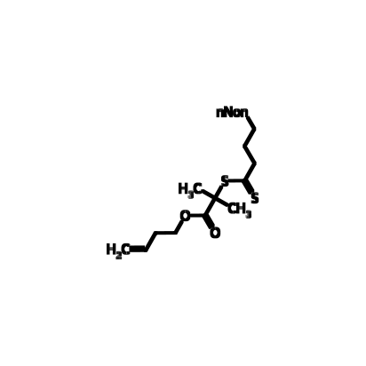 C=CCCOC(=O)C(C)(C)SC(=S)CCCCCCCCCCCC